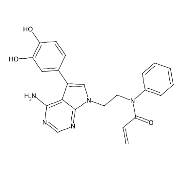 C=CC(=O)N(CCn1cc(-c2ccc(O)c(O)c2)c2c(N)ncnc21)c1ccccc1